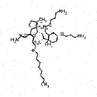 CCCCCCCCNCCC[C@@H](C)[C@H]1CC[C@@H](C)[C@]1(C)[C@H](C[C@@H](C)[C@@]1(C)CC[C@@H](OCCCN)CC1C[C@H](C)OCCCN)OCCCN